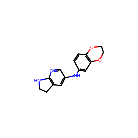 c1cc2c(cc1Nc1cnc3c(c1)CCN3)OCCO2